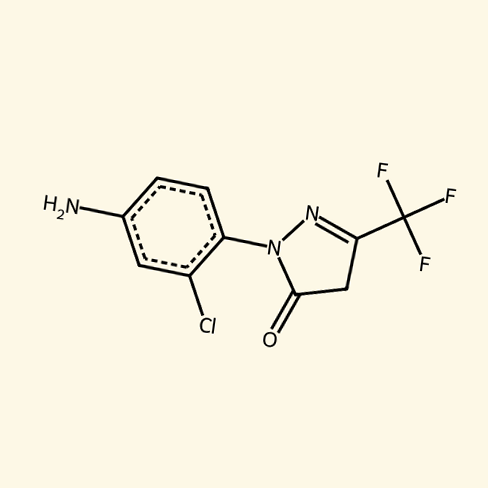 Nc1ccc(N2N=C(C(F)(F)F)CC2=O)c(Cl)c1